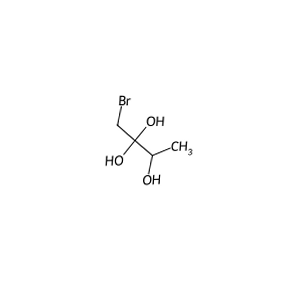 CC(O)C(O)(O)CBr